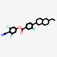 CCC1CCC2CC(c3ccc(C(=O)Oc4cc(F)c(C#N)c(F)c4)cc3F)CCC2C1